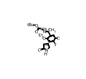 CCOc1c(C(C)=NNC(=O)OC(C)(C)C)cc(Cl)c(F)c1[C@@H]1CNC(=O)C1